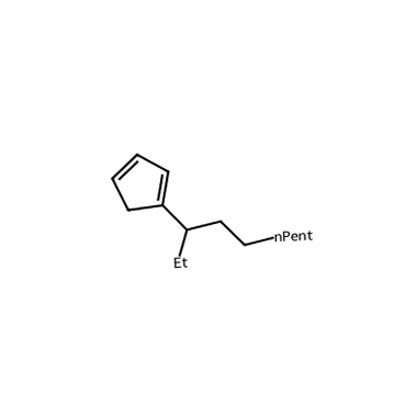 CCCCCCCC(CC)C1=CC=CC1